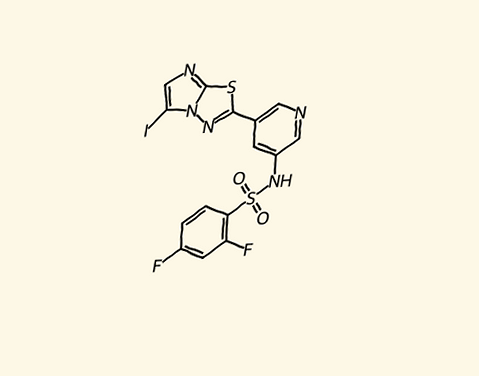 O=S(=O)(Nc1cncc(-c2nn3c(I)cnc3s2)c1)c1ccc(F)cc1F